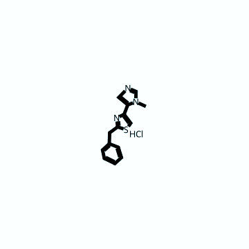 Cl.Cn1cncc1-c1csc(Cc2ccccc2)n1